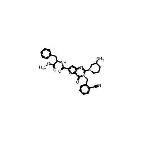 COC(=O)C(Cc1ccccc1)NC(=O)c1cc2nc(N3CCCC(N)C3)n(Cc3ccccc3C#N)c(=O)c2s1